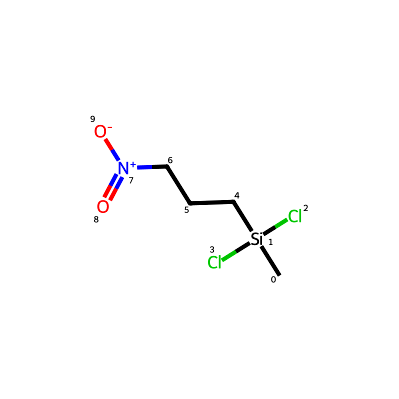 C[Si](Cl)(Cl)CCC[N+](=O)[O-]